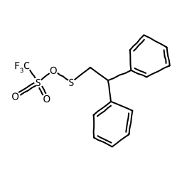 O=S(=O)(OSCC(c1ccccc1)c1ccccc1)C(F)(F)F